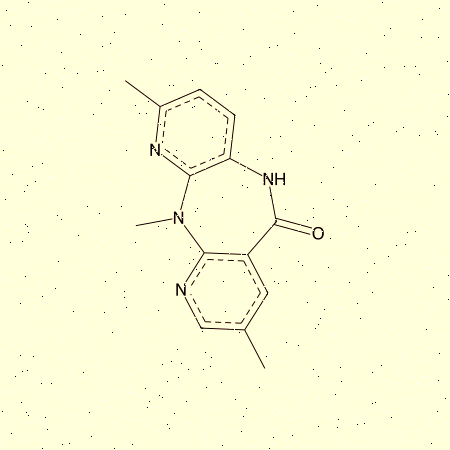 Cc1cnc2c(c1)C(=O)Nc1ccc(C)nc1N2C